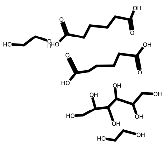 O=C(O)CCCCC(=O)O.O=C(O)CCCCC(=O)O.OCC(O)C(O)C(O)C(O)CO.OCCO.OCCO